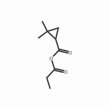 CCC(=O)OC(=O)C1CC1(C)C